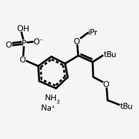 CC(C)OC(=C(COCC(C)(C)C)C(C)(C)C)c1cccc(OP(=O)([O-])O)c1.N.[Na+]